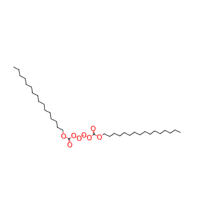 CCCCCCCCCCCCCCCCOC(=O)OOOOC(=O)OCCCCCCCCCCCCCCCC